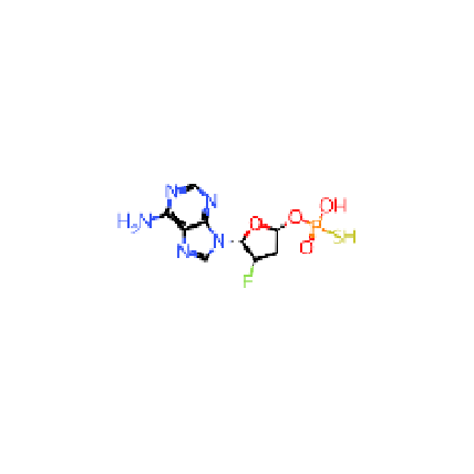 Nc1ncnc2c1ncn2[C@@H]1O[C@H](OP(=O)(O)S)C[C@H]1F